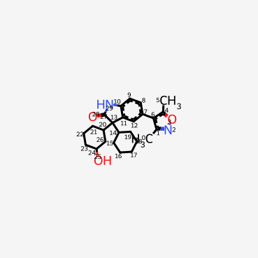 Cc1noc(C)c1-c1ccc2c(c1)C(C1CCCCC1)(C1CCCC(O)C1)C(=O)N2